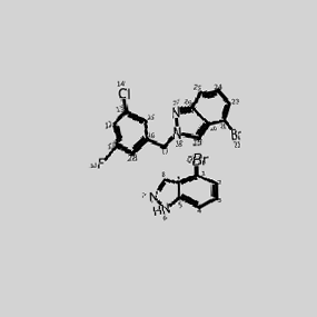 Brc1cccc2[nH]ncc12.Fc1cc(Cl)cc(Cn2cc3c(Br)cccc3n2)c1